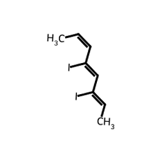 C\C=C/C(I)=C/C(I)=C/C